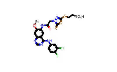 CCOc1cc2ncnc(Nc3ccc(F)c(Cl)c3)c2cc1NC(=O)Cn1nc(SCCS(=O)(=O)O)sc1=S